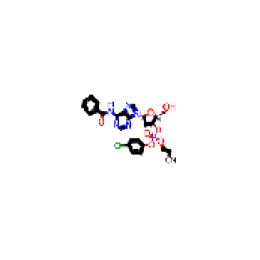 N#CCCOP(=O)(Oc1ccc(Cl)cc1)O[C@H]1C[C@H](n2cnc3c(NC(=O)c4ccccc4)ncnc32)O[C@@H]1CO